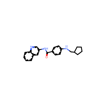 O=C(Nc1cnc2ccccc2c1)c1ccc(NCC2CCCC2)cc1